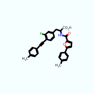 Cc1ccc(C#Cc2ccc(CC(NC(=O)c3ccc(-c4ccc(C)cc4)o3)C(=O)O)cc2F)cc1